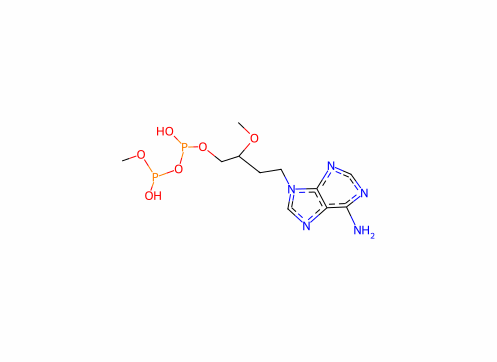 COC(CCn1cnc2c(N)ncnc21)COP(O)OP(O)OC